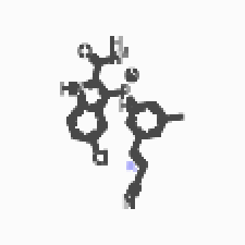 Cc1cc(/C=C/C#N)cc([PH](=O)c2c(C(N)=O)[nH]c3ccc(Cl)cc23)c1